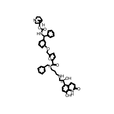 O=C(NC(c1ccccc1)c1cccc(OCc2ccc(C(=O)N(CCCNC[C@@H](O)c3ccc(O)c4[nH]c(=O)ccc34)Cc3ccccc3)o2)c1)O[C@H]1CN2CCC1CC2